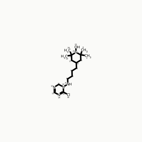 CC1(C)CC(CCCCNN2CN=CN=C2Cl)CC(C)(C)N1O